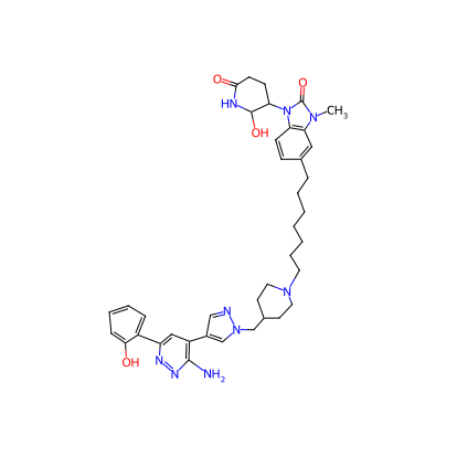 Cn1c(=O)n(C2CCC(=O)NC2O)c2ccc(CCCCCCCN3CCC(Cn4cc(-c5cc(-c6ccccc6O)nnc5N)cn4)CC3)cc21